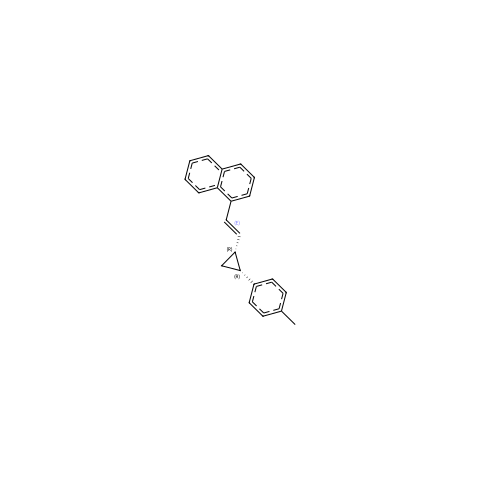 Cc1ccc([C@@H]2C[C@@H]2/C=C/c2cccc3ccccc23)cc1